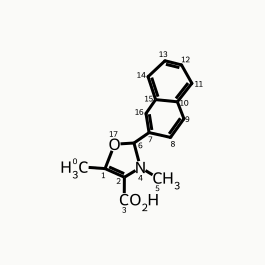 CC1=C(C(=O)O)N(C)C(c2ccc3ccccc3c2)O1